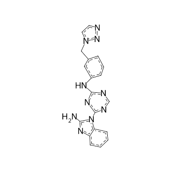 Nc1nc2ccccc2n1-c1ncnc(Nc2cccc(Cn3ccnn3)c2)n1